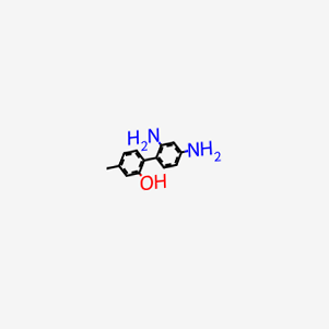 Cc1ccc(-c2ccc(N)cc2N)c(O)c1